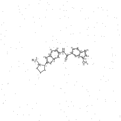 CN1CCC[C@@H]1c1cn2cc(NC(=O)c3ccc4nnn(C)c4c3)ncc2n1